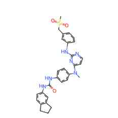 CN(c1ccc(NC(=O)Nc2ccc3c(c2)CCC3)cc1)c1ccnc(Nc2cccc(CS(C)(=O)=O)c2)n1